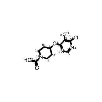 Cc1c(Cl)ncnc1OC1CCN(C(=O)O)CC1